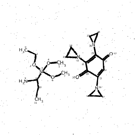 CCO[Si](OC)(OC)C(N)CC.O=C1C=C(N2CC2)C(=O)C(N2CC2)=C1N1CC1